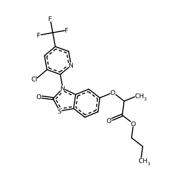 CCCOC(=O)C(C)Oc1ccc2sc(=O)n(-c3ncc(C(F)(F)F)cc3Cl)c2c1